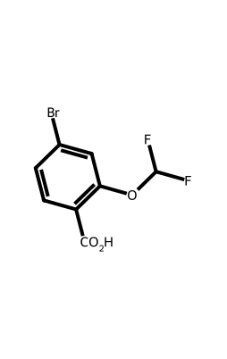 O=C(O)c1ccc(Br)cc1OC(F)F